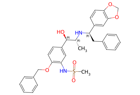 C[C@@H](N[C@H](Cc1ccccc1)c1ccc2c(c1)OCO2)[C@H](O)c1ccc(OCc2ccccc2)c(NS(C)(=O)=O)c1